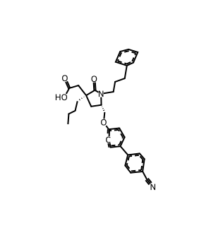 CCCC[C@@]1(CC(=O)O)C[C@@H](COc2ccc(-c3ccc(C#N)cc3)cc2)N(CCCc2ccccc2)C1=O